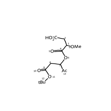 COC(CC(=O)O)C(=O)OC(CC(=O)OC(C)(C)C)C(C)=O